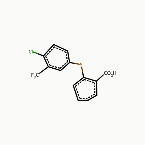 O=C(O)c1ccccc1Sc1ccc(Cl)c(C(F)(F)F)c1